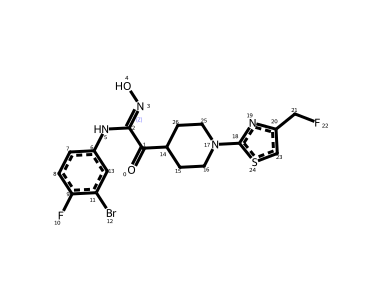 O=C(/C(=N/O)Nc1ccc(F)c(Br)c1)C1CCN(c2nc(CF)cs2)CC1